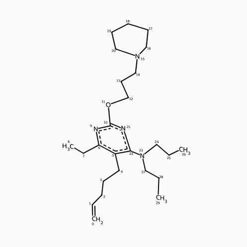 C=CCCCc1c(CC)nc(OCCCN2CCCCC2)nc1N(CCC)CCC